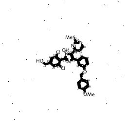 COc1ccc(COc2cccc(-c3nc(-c4c(Cl)cc(CO)cc4Cl)n(O)c3-c3ccnc(SC)n3)c2)cc1